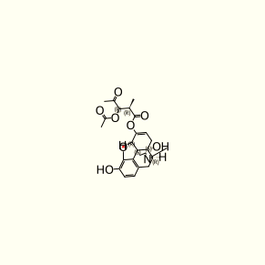 CC(=O)O[C@@H](C(C)=O)[C@@H](C)C(=O)OC1=CC[C@@]2(O)[C@H]3Cc4ccc(O)c5c4[C@@]2(CCN3C)[C@H]1O5